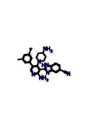 Cc1cc(F)cc(-c2cnc(N)c(-c3nc4cc(C#N)ccc4[nH]3)c2N2CCC(N)CC2)c1